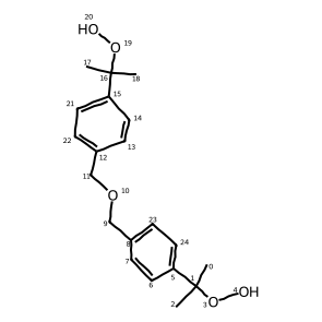 CC(C)(OO)c1ccc(COCc2ccc(C(C)(C)OO)cc2)cc1